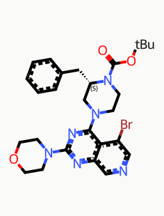 CC(C)(C)OC(=O)N1CCN(c2nc(N3CCOCC3)nc3cncc(Br)c23)C[C@@H]1Cc1ccccc1